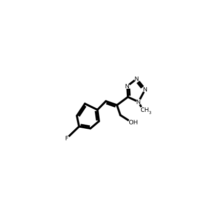 Cn1nnnc1C(=Cc1ccc(F)cc1)CO